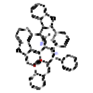 C/N=C(\N=C(/c1ccc2ccccc2c1)C1C=CC=CC1)c1cccc2oc3cccc(-c4cc5ccccc5c5oc6ccccc6c45)c3c12